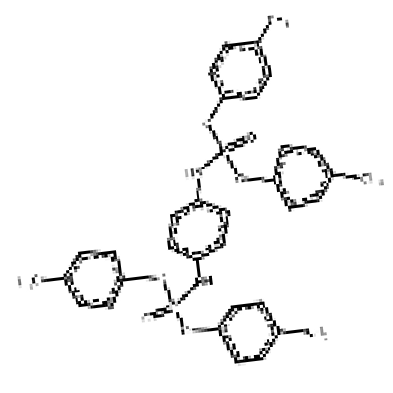 Cc1ccc(OP(=O)(Nc2ccc(NP(=O)(Oc3ccc(C)cc3)Oc3ccc(C)cc3)cc2)Oc2ccc(C)cc2)cc1